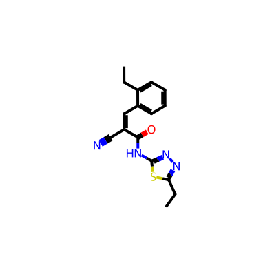 CCc1nnc(NC(=O)C(C#N)=Cc2ccccc2CC)s1